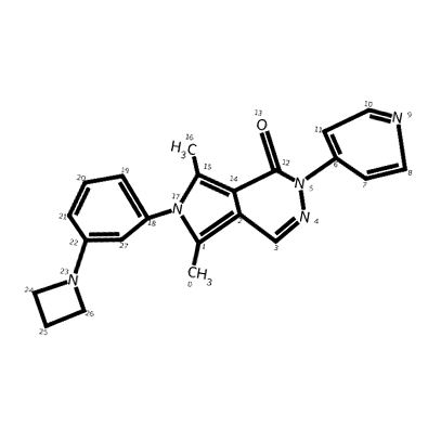 Cc1c2cnn(-c3ccncc3)c(=O)c2c(C)n1-c1cccc(N2CCC2)c1